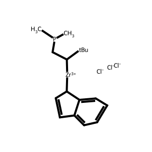 CP(C)C[CH]([Zr+3][CH]1C=Cc2ccccc21)C(C)(C)C.[Cl-].[Cl-].[Cl-]